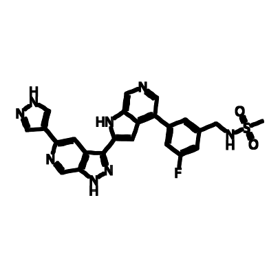 CS(=O)(=O)NCc1cc(F)cc(-c2cncc3[nH]c(-c4n[nH]c5cnc(-c6cn[nH]c6)cc45)cc23)c1